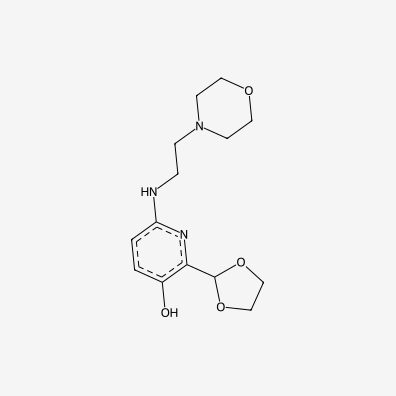 Oc1ccc(NCCN2CCOCC2)nc1C1OCCO1